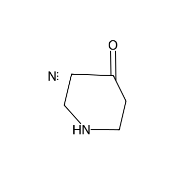 O=C1CCNCC1.[N]